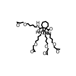 O=C(NCCCCOCC1CO1)C1(C(=O)NCCCCOCC2CO2)CCCCCC1(C(=O)NCCCCOCC1CO1)C(=O)NCCCCOCC1CO1